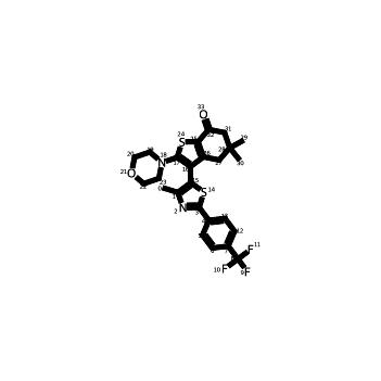 Cc1nc(-c2ccc(C(F)(F)F)cc2)sc1-c1c(N2CCOCC2)sc2c1CC(C)(C)CC2=O